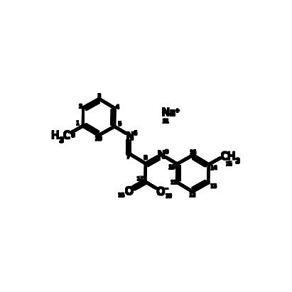 Cc1cccc(N=CC(=Nc2cccc(C)c2)C(=O)[O-])c1.[Na+]